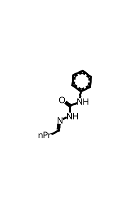 CCCC=NNC(=O)Nc1ccccc1